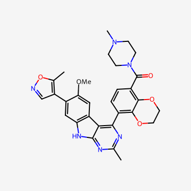 COc1cc2c(cc1-c1cnoc1C)[nH]c1nc(C)nc(-c3ccc(C(=O)N4CCN(C)CC4)c4c3OCCO4)c12